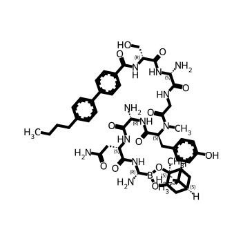 CCCCc1ccc(-c2ccc(C(=O)N[C@H](CO)C(=O)N[C@H](N)C(=O)NCC(=O)N(C)[C@@H](Cc3ccc(O)cc3)C(=O)N[C@@H](N)C(=O)N[C@@H](CC(N)=O)C(=O)N[C@@H](N)B3OC4C[C@@H]5C[C@@H](C5(C)C)[C@]4(C)O3)cc2)cc1